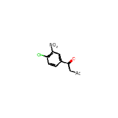 CC(=O)CC(=O)c1ccc(Cl)c([N+](=O)[O-])c1